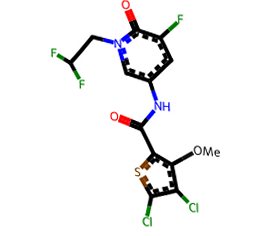 COc1c(C(=O)Nc2cc(F)c(=O)n(CC(F)F)c2)sc(Cl)c1Cl